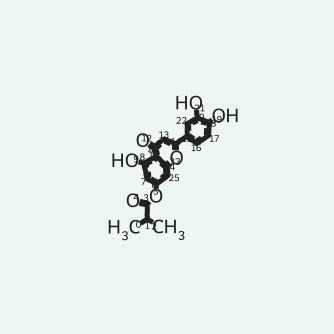 CC(C)C(=O)Oc1cc(O)c2c(=O)cc(-c3ccc(O)c(O)c3)oc2c1